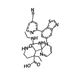 CCNC(=O)NC1(C2CNCCC2(CC)C(=O)O)N=CC=CN1c1cc(-c2cc(C#N)ccn2)c2scnc2c1